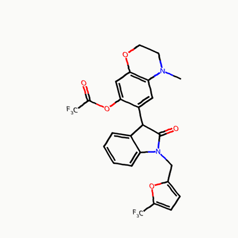 CN1CCOc2cc(OC(=O)C(F)(F)F)c(C3C(=O)N(Cc4ccc(C(F)(F)F)o4)c4ccccc43)cc21